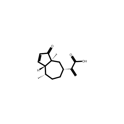 C=C(C(=O)O)[C@@H]1CC[C@H](C)[C@@H]2C=CC(=O)[C@@]2(C)C1